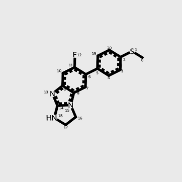 CSc1ccc(-c2cc3c(cc2F)nc2n3CCN2)cc1